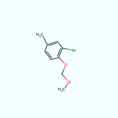 COCOc1ccc(C)cc1Br